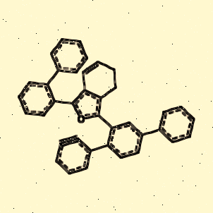 c1cccc(-c2ccc(-c3ccccc3)cc2-c2oc(-c3ccccc3-c3ccccc3)c3c2CCC=C3)c#1